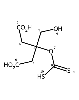 O=C(O)CC(CO)(CC(=O)O)OC(=S)S